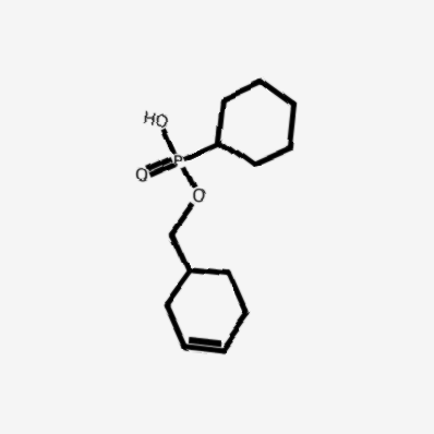 O=P(O)(OCC1CC=CCC1)C1CCCCC1